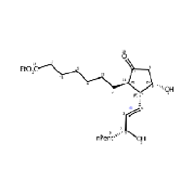 CCCCC[C@@H](O)/C=C/[C@H]1[C@@H](O)CC(=O)[C@@H]1CCCCCCC(=O)OCC